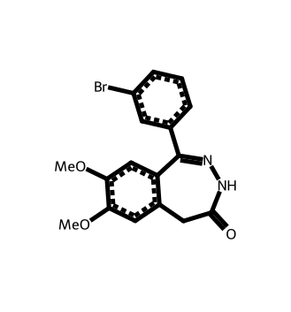 COc1cc2c(cc1OC)C(c1cccc(Br)c1)=NNC(=O)C2